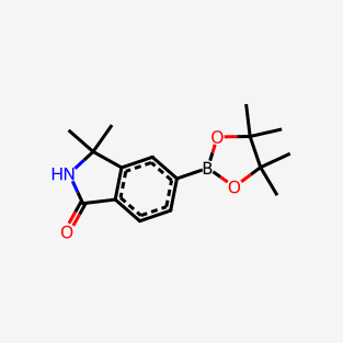 CC1(C)NC(=O)c2ccc(B3OC(C)(C)C(C)(C)O3)cc21